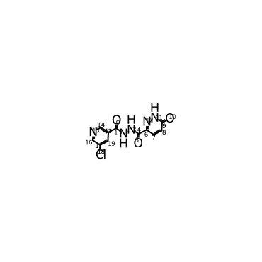 O=C(NNC(=O)c1ccc(=O)[nH]n1)c1cncc(Cl)c1